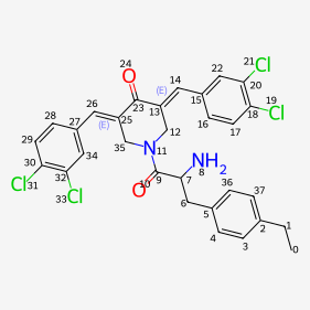 CCc1ccc(CC(N)C(=O)N2C/C(=C\c3ccc(Cl)c(Cl)c3)C(=O)/C(=C/c3ccc(Cl)c(Cl)c3)C2)cc1